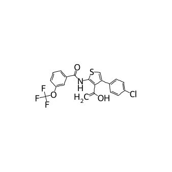 C=C(O)c1c(-c2ccc(Cl)cc2)csc1NC(=O)c1cccc(OC(F)(F)F)c1